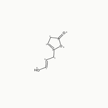 O=C1CC=C(CC=CO)O1